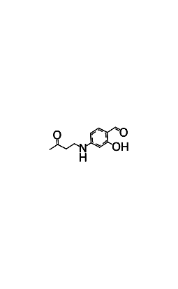 CC(=O)CCNc1ccc(C=O)c(O)c1